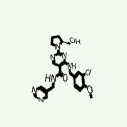 COc1ccc(CNc2nc(N3CCC[C@H]3CO)ncc2C(=O)NCc2cncnc2)cc1Cl